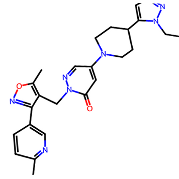 CCn1nccc1C1CCN(c2cnn(Cc3c(-c4ccc(C)nc4)noc3C)c(=O)c2)CC1